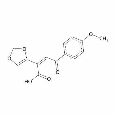 COc1ccc(C(=O)C=C(C(=O)O)C2=COCO2)cc1